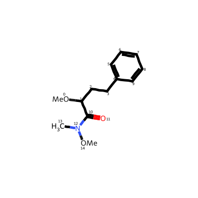 COC(CCc1ccccc1)C(=O)N(C)OC